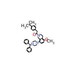 COc1ccc(N2CCN(C(c3ccccc3)c3ccccc3)CC2)c2c1CCN(C(=O)Cc1ccc(C(C)C)cc1)C2